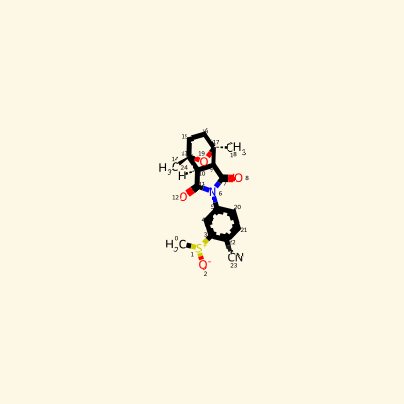 C[S+]([O-])c1cc(N2C(=O)C3[C@@H](C2=O)[C@]2(C)CC[C@]3(C)O2)ccc1C#N